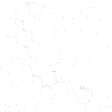 O=C(c1ccc(OCc2ccccn2)c(Cl)c1)N1CC(N2CCN(C(=O)c3nccs3)CC2)C1